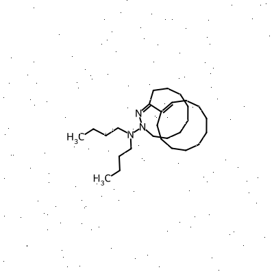 CCCCN(CCCC)N1CCCCCCCCC(/C2=C/CCCCCCCCC2)=N/1